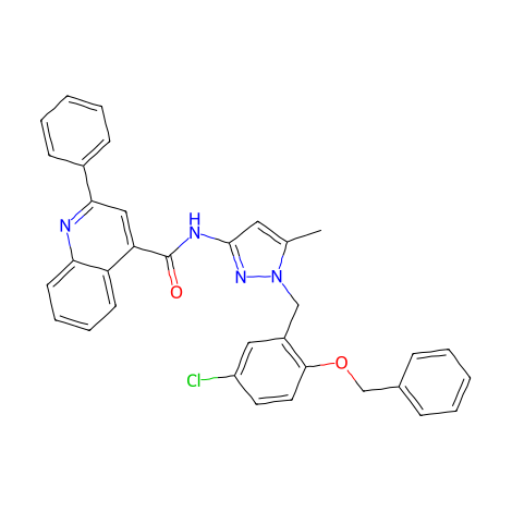 Cc1cc(NC(=O)c2cc(-c3ccccc3)nc3ccccc23)nn1Cc1cc(Cl)ccc1OCc1ccccc1